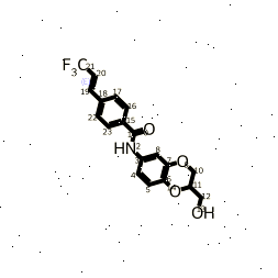 O=C(Nc1ccc2c(c1)OCC(CO)O2)c1ccc(/C=C/C(F)(F)F)cc1